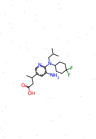 CC(C)CN(c1ncc(C(C)CC(=O)O)cc1N)C1CCC(F)(F)CC1